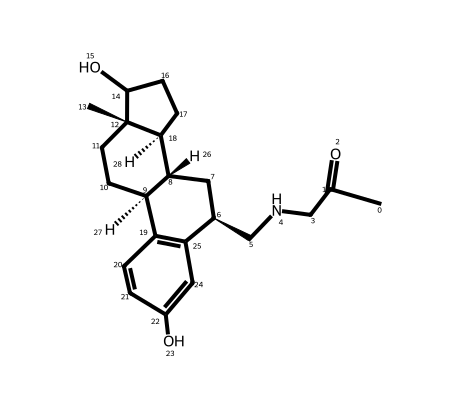 CC(=O)CNC[C@@H]1C[C@@H]2[C@H](CC[C@]3(C)C(O)CC[C@@H]23)c2ccc(O)cc21